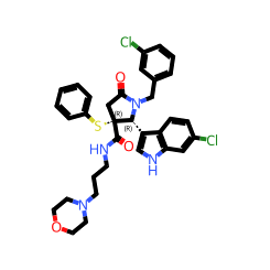 O=C1C[C@](Sc2ccccc2)(C(=O)NCCCN2CCOCC2)[C@@H](c2c[nH]c3cc(Cl)ccc23)N1Cc1cccc(Cl)c1